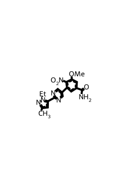 CCn1nc(C)cc1-c1ncc(-c2cc(C(N)=O)cc(OC)c2[N+](=O)[O-])cn1